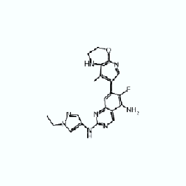 CCn1cc(Nc2ncc3c(N)c(F)c(-c4cnc5c(c4C)NCCO5)cc3n2)cn1